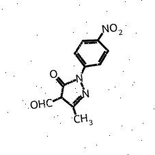 CC1=NN(c2ccc([N+](=O)[O-])cc2)C(=O)C1C=O